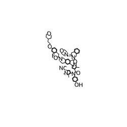 Cc1c(N(C(=O)c2cc(-c3cc4c(cc3C(=O)N3Cc5ccccc5C[C@H]3CN3CCOCC3)CN(C(=O)Cc3ccc(OCCC5CCOCC5)cc3F)CC4)n(C)c2C)c2ccc(O)cc2)cc(C#N)n1C